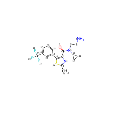 Cc1nc(C(=O)N(CCN)C2CC2)c(-c2cccc(C(F)(F)F)c2)s1